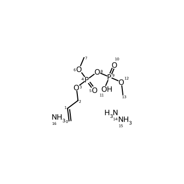 C=CCOP(=O)(OC)OP(=O)(O)OC.N.N.N